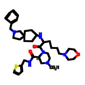 O=C(NCc1cccs1)[C@@H]1CN(C(=O)O)CCN1C(=O)C(CCCCN1CCOCC1)NC1CCC2(CC1)CCN(Cc1ccccc1)C2